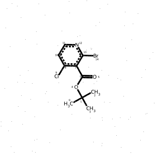 CC(C)(C)OC(=O)c1c(Cl)ccnc1Br